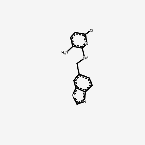 Nc1ccc(Cl)nc1NCc1ccc2ncsc2c1